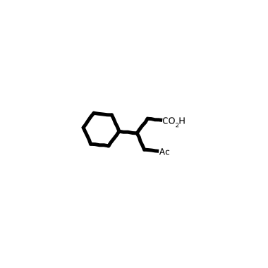 CC(=O)CC(CC(=O)O)C1CCCCC1